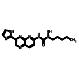 CCCCCN(S)C(=O)Nc1ccc2ncc(-c3ncc[nH]3)nc2n1